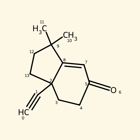 C#CC12CCC(=O)C=C1C(C)(C)CC2